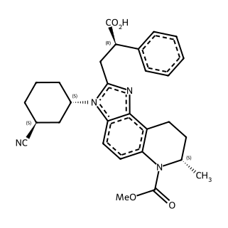 COC(=O)N1c2ccc3c(nc(C[C@@H](C(=O)O)c4ccccc4)n3[C@H]3CCC[C@H](C#N)C3)c2CC[C@@H]1C